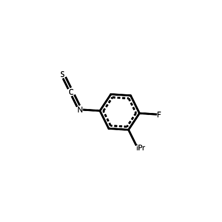 CC(C)c1cc(N=C=S)ccc1F